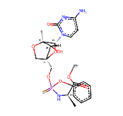 CC(C)OC(=O)[C@@H](C)NP(=S)(OC[C@]12CO[C@](C)([C@@H]1O)[C@H](n1ccc(N)nc1=O)O2)Oc1ccccc1